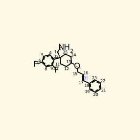 NC[C@]1(c2ccc(F)cc2F)CC[C@H](OC/C=C/c2ccccc2)CC1